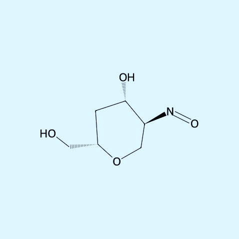 O=N[C@H]1CO[C@H](CO)C[C@@H]1O